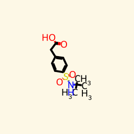 CC(C)(C)NS(=O)(=O)c1ccc(CC(=O)O)cc1